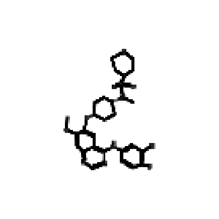 COc1cc2ncnc([AsH]c3ccc(F)c(Cl)c3)c2cc1O[C@H]1CC[C@@H](N(C)S(=O)(=O)N2CCOCC2)CC1